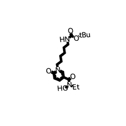 CCN(O)C(=O)c1ccc(=O)n(CCCCCCNC(=O)OC(C)(C)C)c1